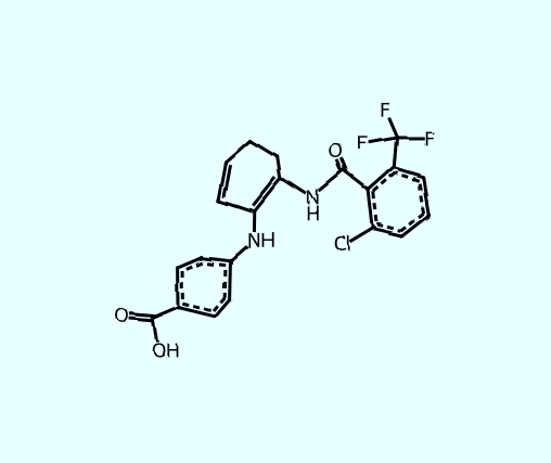 O=C(O)c1ccc(NC2=C(NC(=O)c3c(Cl)cccc3C(F)(F)F)CCC=C2)cc1